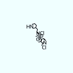 Cc1c(S(=O)(=O)C(C)C=CCC2CCCNC2)ccnc1CCl.Cl